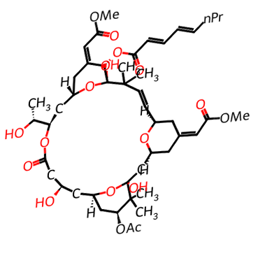 CCC/C=C/C=C/C(=O)O[C@H]1/C(=C\C(=O)OC)C[C@H]2C[C@H]([C@@H](C)O)OC(=O)C[C@H](O)C[C@@H]3C[C@H](OC(C)=O)C(C)(C)[C@](O)(C[C@@H]4C/C(=C/C(=O)OC)C[C@H](/C=C/C(C)(C)[C@]1(O)O2)O4)O3